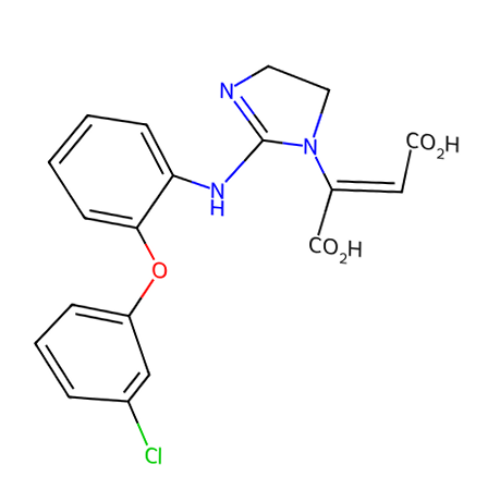 O=C(O)/C=C(/C(=O)O)N1CCN=C1Nc1ccccc1Oc1cccc(Cl)c1